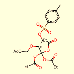 CCC(=O)OC(OC(=O)CC)(OC(=O)CC)[C@@H](COS(=O)(=O)c1ccc(C)cc1)OCOC(C)=O